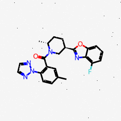 Cc1ccc(-n2nccn2)c(C(=O)N2C[C@H](c3nc4c(F)cccc4o3)CC[C@H]2C)c1